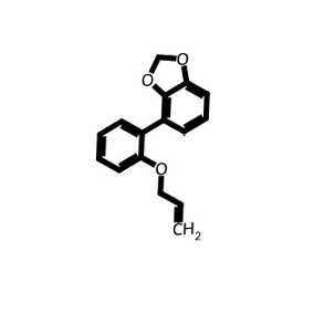 C=CCOc1ccccc1-c1[c]ccc2c1OCO2